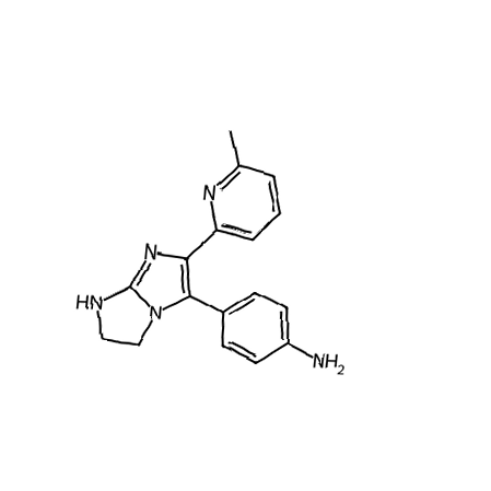 Cc1cccc(-c2nc3n(c2-c2ccc(N)cc2)CCN3)n1